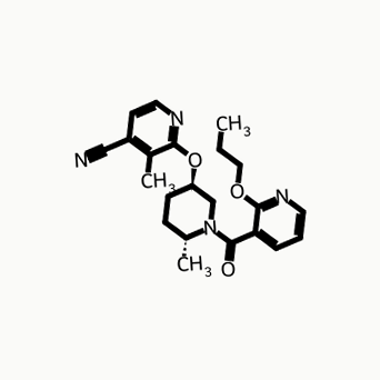 CCCOc1ncccc1C(=O)N1C[C@H](Oc2nccc(C#N)c2C)CC[C@H]1C